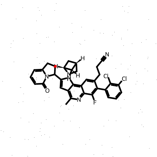 Cc1nc2c(F)c(-c3cccc(Cl)c3Cl)c(CCC#N)cc2c2c1cc(C1CCc3cccc(=O)n31)n2[C@H]1[C@H]2CN[C@@H]1C2